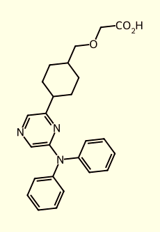 O=C(O)COCC1CCC(c2cncc(N(c3ccccc3)c3ccccc3)n2)CC1